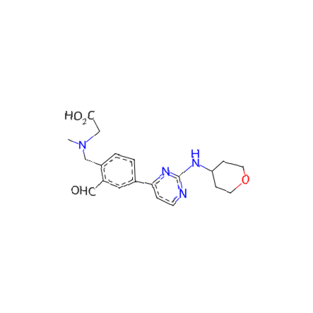 CN(CC(=O)O)Cc1ccc(-c2ccnc(NC3CCOCC3)n2)cc1C=O